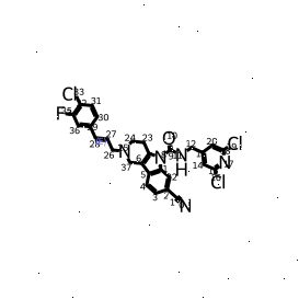 N#Cc1ccc2c3c(n(C(=O)NCc4cc(Cl)nc(Cl)c4)c2c1)CCN(C/C=C/c1ccc(Cl)c(F)c1)C3